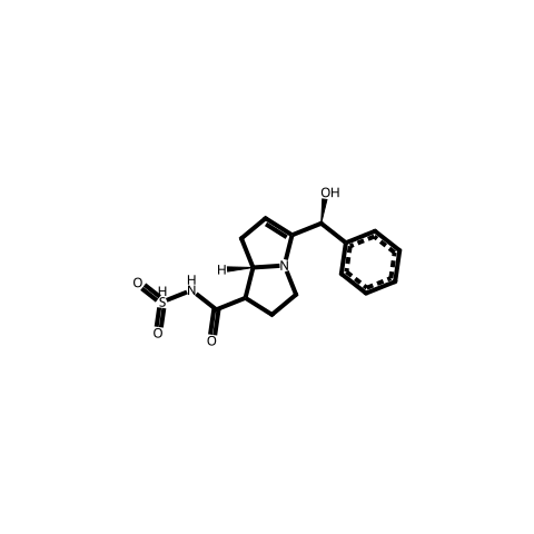 O=C(N[SH](=O)=O)C1CCN2C([C@@H](O)c3ccccc3)=CC[C@@H]12